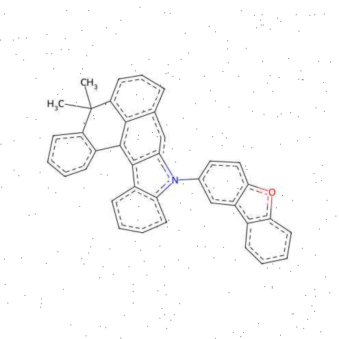 CC1(C)c2ccccc2-c2c3c1cccc3cc1c2c2ccccc2n1-c1ccc2oc3ccccc3c2c1